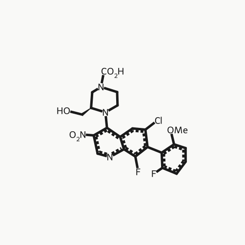 COc1cccc(F)c1-c1c(Cl)cc2c(N3CCN(C(=O)O)C[C@@H]3CO)c([N+](=O)[O-])cnc2c1F